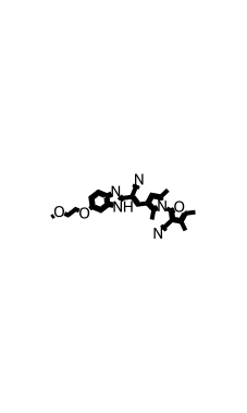 COCCOc1ccc2nc(C(C#N)=Cc3cc(C)n(-c4oc(C)c(C)c4C#N)c3C)[nH]c2c1